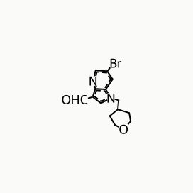 O=Cc1cn(CC2CCOCC2)c2cc(Br)cnc12